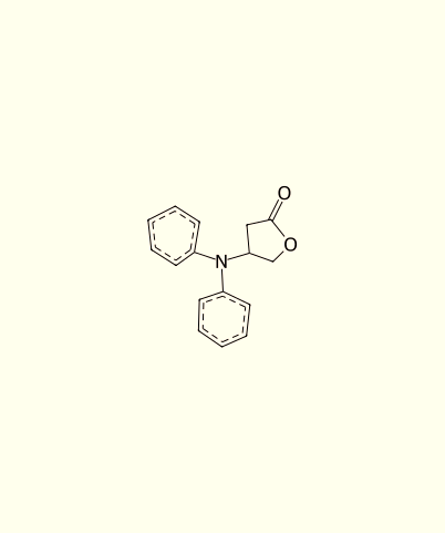 O=C1CC(N(c2ccccc2)c2ccccc2)CO1